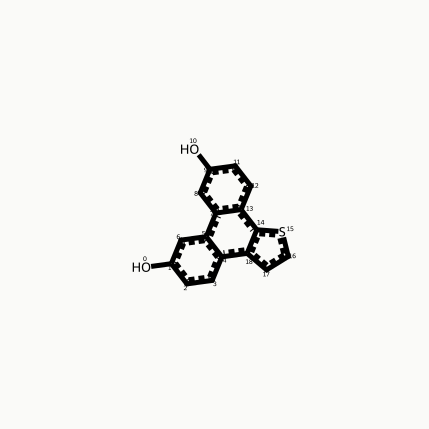 Oc1ccc2c(c1)c1cc(O)ccc1c1sccc21